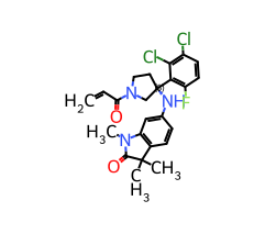 C=CC(=O)N1CC[C@](Nc2ccc3c(c2)N(C)C(=O)C3(C)C)(c2c(F)ccc(Cl)c2Cl)C1